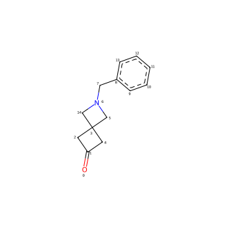 O=C1CC2(C1)CN(Cc1ccccc1)C2